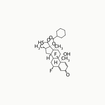 C[C@@H]1C[C@H]2[C@@H]3C[C@H](F)C4=CC(=O)C=C[C@]4(C)[C@@]3(F)[C@@H](O)C[C@]2(C)[C@]1(OC(=O)C1CCCCC1)C(=O)S